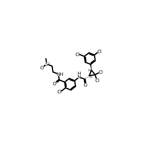 C[S+]([O-])CCNC(=O)c1cc(NC(=O)[C@@H]2[C@@H](c3cc(Cl)cc(Cl)c3)C2(Cl)Cl)ccc1Cl